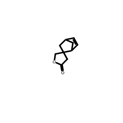 O=C1CC2(CO1)CC1C=CC2C1